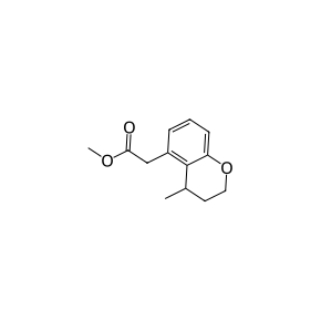 COC(=O)Cc1cccc2c1C(C)CCO2